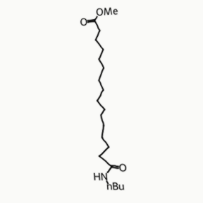 CCCCNC(=O)CCCCCCCCCCCCCCC(=O)OC